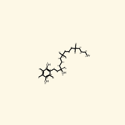 Cc1c(C)c(O)c(CC[C@@](C)(O)CCCC(C)(C)CCCC(C)(C)CCCC(C)C)c(C)c1O